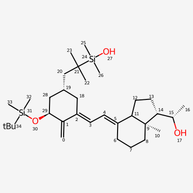 C=C1/C(=C/C=C2\CCC[C@@]3(C)C2CC[C@@H]3[C@H](C)O)C[C@@H](CC(C)(C)[Si](C)(C)O)C[C@@H]1O[Si](C)(C)C(C)(C)C